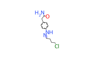 NC(=O)Cc1ccc(N/N=C\CCCCl)cc1